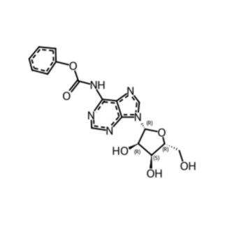 O=C(Nc1ncnc2c1ncn2[C@@H]1O[C@H](CO)[C@@H](O)[C@H]1O)Oc1ccccc1